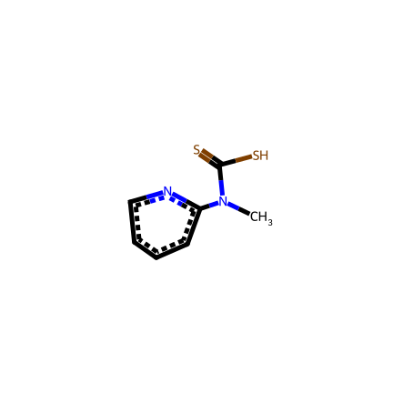 CN(C(=S)S)c1ccccn1